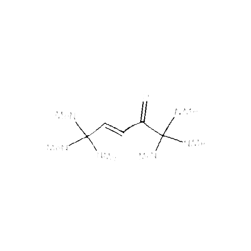 CNC(C=CC(=O)C(NC)(NC)NC)(NC)NC